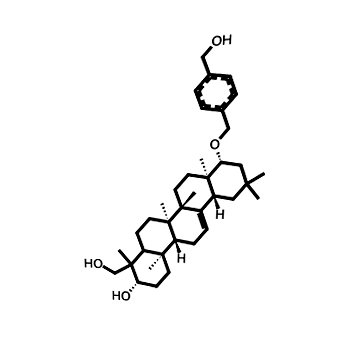 CC1(C)C[C@@H]2C3=CC[C@@H]4[C@@]5(C)CC[C@H](O)C(C)(CO)C5CC[C@@]4(C)[C@]3(C)CC[C@@]2(C)[C@H](OCc2ccc(CO)cc2)C1